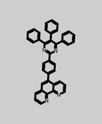 c1ccc(-c2nc(-c3ccc(-c4cc5cccnc5c5ncccc45)cc3)nc(-c3ccccc3)c2-c2ccccc2)cc1